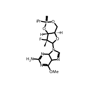 C=P1(C(C)C)OC[C@H]2OC(N3C=NC4C(OC)=NC(N)=NC43)[C@](C)(F)[C@@H]2O1